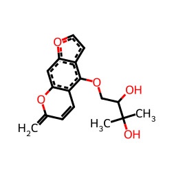 C=C1C=Cc2c(cc3occc3c2OCC(O)C(C)(C)O)O1